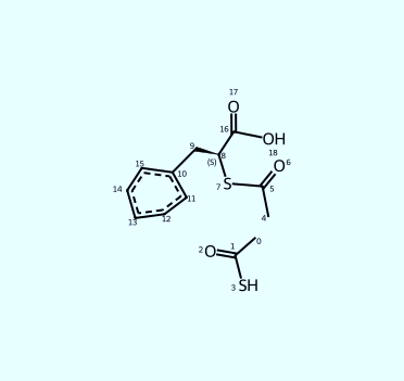 CC(=O)S.CC(=O)S[C@@H](Cc1ccccc1)C(=O)O